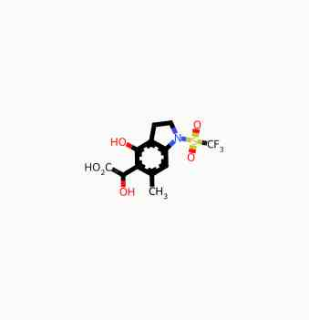 Cc1cc2c(c(O)c1C(O)C(=O)O)CCN2S(=O)(=O)C(F)(F)F